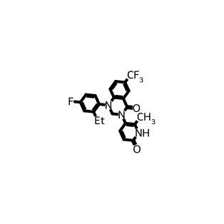 CCc1cc(F)ccc1N1CN(c2ccc(=O)[nH]c2C)C(=O)c2cc(C(F)(F)F)ccc21